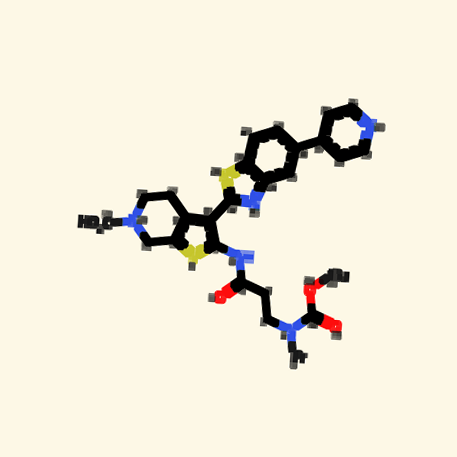 CC(C)N(CCC(=O)Nc1sc2c(c1-c1nc3cc(-c4ccncc4)ccc3s1)CCN(C(=O)O)C2)C(=O)OC(C)(C)C